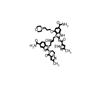 CCn1nc(C)cc1C(=O)/N=c1\[nH]c2cc(C(N)=O)cc(OCCCN3CCOCC3)c2n1C/C=C/Cn1c(N2CCn3nc(C)cc3C2=O)nc2cc(C(N)=O)cc(OC)c21